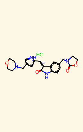 Cl.O=C1Nc2ccc(CN3CCOC3=O)cc2/C1=C/c1cc(CN2CCOCC2)c[nH]1